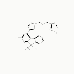 Cc1cc(-c2cnn(CCCc3nnn(C)n3)c2)c2c(c1)C(O)(C(F)(F)F)c1ccccc1-2